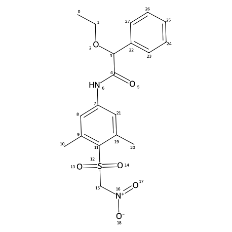 CCOC(C(=O)Nc1cc(C)c(S(=O)(=O)C[N+](=O)[O-])c(C)c1)c1ccccc1